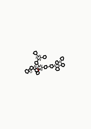 c1ccc(-c2nc(-c3ccccc3)nc(-c3ccc(-n4c5ccccc5c5c6oc7ccccc7c6ccc54)c(-c4nc(-c5ccccc5)nc(-c5ccc(-c6ccc(N7c8ccccc8B8c9ccccc9N(c9ccccc9)c9cccc7c98)cc6)cc5)n4)c3)n2)cc1